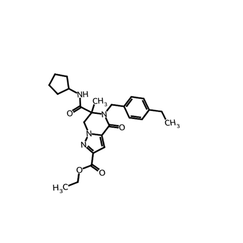 CCOC(=O)c1cc2n(n1)CC(C)(C(=O)NC1CCCC1)N(Cc1ccc(CC)cc1)C2=O